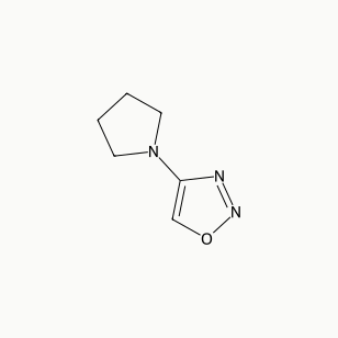 c1onnc1N1CCCC1